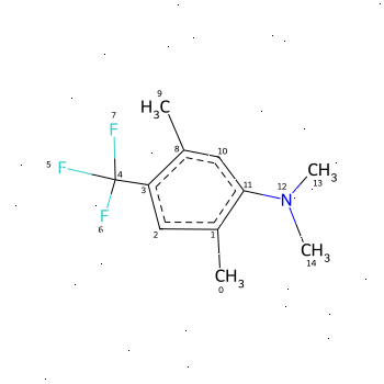 Cc1cc(C(F)(F)F)c(C)cc1N(C)C